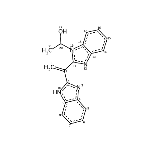 C=C(c1nc2ccccc2[nH]1)c1nc2ccccc2n1C(C)O